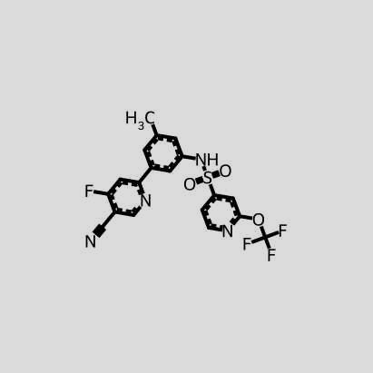 Cc1cc(NS(=O)(=O)c2ccnc(OC(F)(F)F)c2)cc(-c2cc(F)c(C#N)cn2)c1